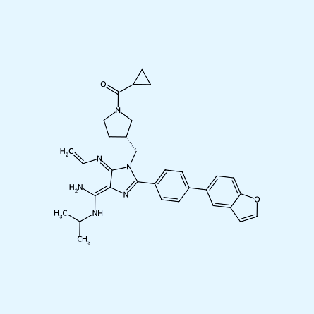 C=C/N=C1\C(=C(/N)NC(C)C)N=C(c2ccc(-c3ccc4occc4c3)cc2)N1C[C@@H]1CCN(C(=O)C2CC2)C1